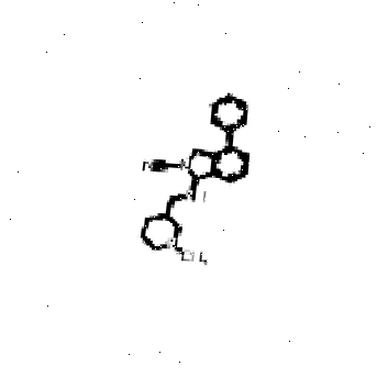 CN1CCCC(CNC2c3cccc(-c4ccccc4)c3CN2C#N)C1